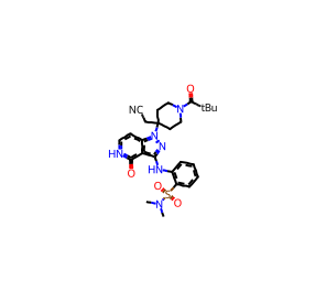 CN(C)S(=O)(=O)c1ccccc1Nc1nn(C2(CC#N)CCN(C(=O)C(C)(C)C)CC2)c2cc[nH]c(=O)c12